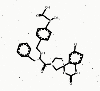 CN(C(=O)O)c1ccc(CN[C@@H](Cc2ccccc2)C(=O)N2CC[C@@]3(C2)OC(=O)Nc2ccc(Cl)cc23)cc1